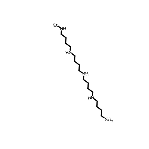 CCNCCCCNCCCCNCCCCNCCCCN